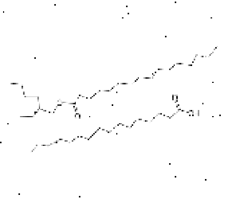 CCCCCCCCCCCCCCCC(=O)O.CCCCCCCCCCCCCCCC(=O)OCC(CC)CCCC